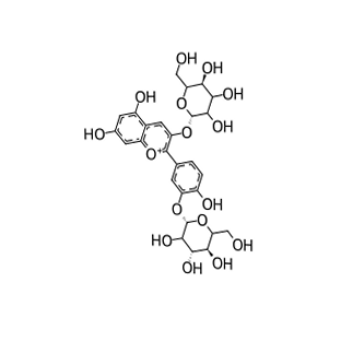 OCC1O[C@@H](Oc2cc3c(O)cc(O)cc3[o+]c2-c2ccc(O)c(O[C@@H]3OC(CO)[C@@H](O)[C@H](O)C3O)c2)C(O)C(O)[C@@H]1O